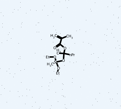 C=C(C)C(=O)OC(C)(CCC)O[Si](C)(OCC)OCC